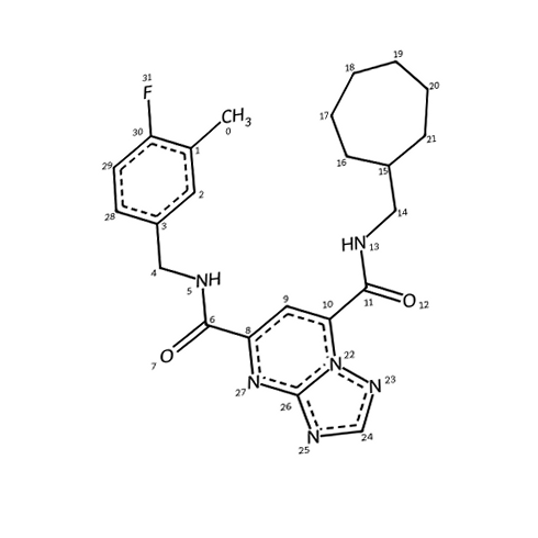 Cc1cc(CNC(=O)c2cc(C(=O)NCC3CCCCCC3)n3ncnc3n2)ccc1F